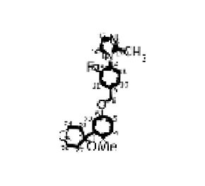 COC1(c2cccc(OCc3ccc(-n4ccnc4C)c(F)c3)c2)CCOCC1